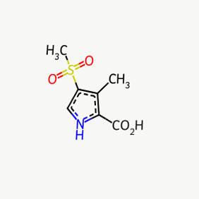 Cc1c(S(C)(=O)=O)c[nH]c1C(=O)O